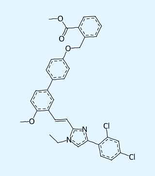 CCn1cc(-c2ccc(Cl)cc2Cl)nc1/C=C/c1cc(-c2ccc(OCc3ccccc3C(=O)OC)cc2)ccc1OC